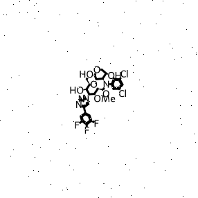 CO[C@@H]1[C@@H](n2cc(-c3cc(F)c(F)c(F)c3)nn2)[C@@H](O)[C@@H](CO)O[C@H]1C(=O)N(c1cc(Cl)cc(Cl)c1)[C@@H]1CCOC[C@H]1O